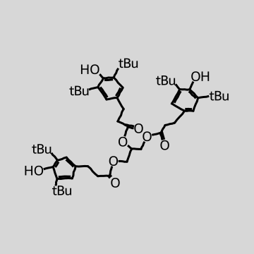 CC(C)(C)c1cc(CCC(=O)OCC(COC(=O)CCc2cc(C(C)(C)C)c(O)c(C(C)(C)C)c2)OC(=O)CCc2cc(C(C)(C)C)c(O)c(C(C)(C)C)c2)cc(C(C)(C)C)c1O